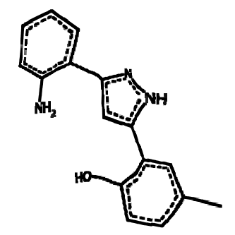 Cc1ccc(O)c(-c2cc(-c3ccccc3N)n[nH]2)c1